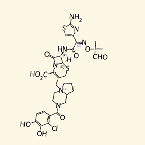 CC(C)(C=O)O/N=C(\C(=O)N[C@@H]1C(=O)N2C(C(=O)O)=C(C[N+]34CCCC3CN(C(=O)c3ccc(O)c(O)c3Cl)CC4)CS[C@H]12)c1csc(N)n1